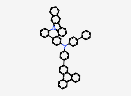 c1ccc(-c2ccc(N(c3ccc(-c4ccc5c6ccccc6c6ccccc6c5c4)cc3)c3ccc(-c4ccccc4-n4c5ccccc5c5cc6ccccc6cc54)cc3)cc2)cc1